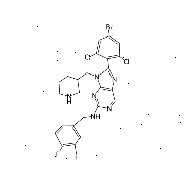 Fc1ccc(CNc2ncc3nc(-c4c(Cl)cc(Br)cc4Cl)n(CC4CCCNC4)c3n2)cc1F